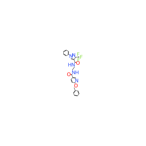 O=C(NCCNC(=O)c1cn(-c2ccccc2)nc1C(F)(F)F)c1ccc(OCc2ccccc2)nc1